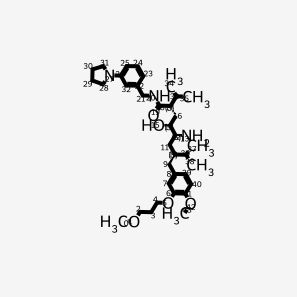 COCCCOc1cc(C[C@@H](C[C@H](N)[C@@H](O)C[C@H](C(=O)NCc2cccc(N3CCCC3)c2)C(C)C)C(C)C)ccc1OC